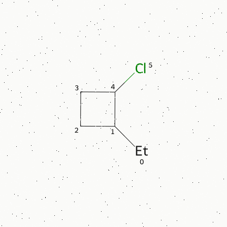 CCC1CCC1Cl